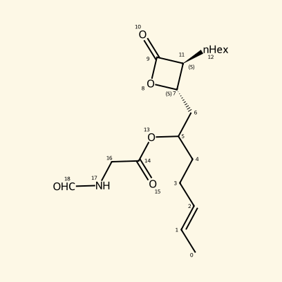 CC=CCCC(C[C@@H]1OC(=O)[C@H]1CCCCCC)OC(=O)CNC=O